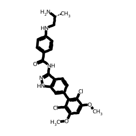 COc1cc(OC)c(Cl)c(-c2ccc3c(NC(=O)c4ccc(NC[C@@H](C)N)cc4)n[nH]c3c2)c1Cl